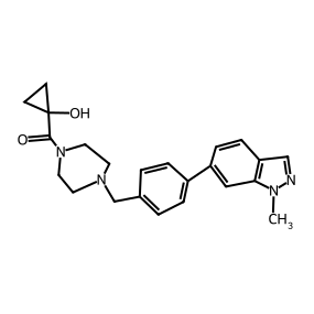 Cn1ncc2ccc(-c3ccc(CN4CCN(C(=O)C5(O)CC5)CC4)cc3)cc21